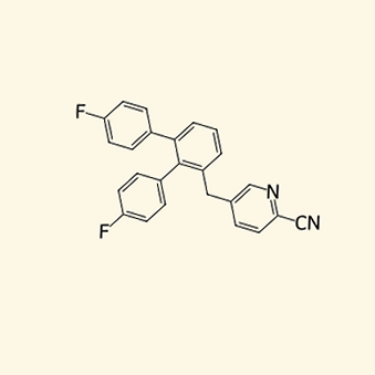 N#Cc1ccc(Cc2cccc(-c3ccc(F)cc3)c2-c2ccc(F)cc2)cn1